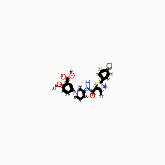 COC(=O)c1cc(N2CCCC(NC(=O)c3sc(-c4ccc(Cl)cc4)nc3C)C2)ccc1OC